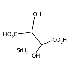 O=C(O)C(O)C(O)C(=O)O.[SrH2]